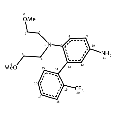 COCCN(CCOC)c1ccc(N)cc1-c1ccccc1C(F)(F)F